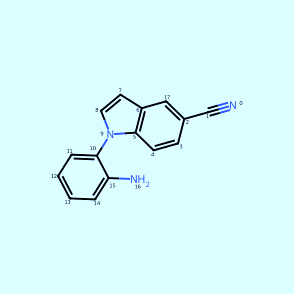 N#Cc1ccc2c(ccn2-c2ccccc2N)c1